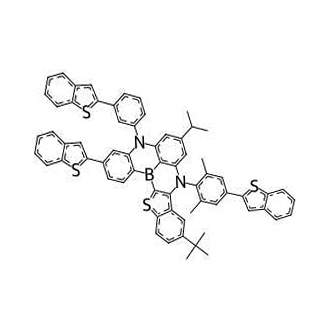 Cc1cc(-c2cc3ccccc3s2)cc(C)c1N1c2cc(C(C)C)cc3c2B(c2ccc(-c4cc5ccccc5s4)cc2N3c2cccc(-c3cc4ccccc4s3)c2)c2sc3ccc(C(C)(C)C)cc3c21